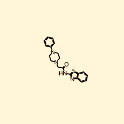 O=C(CN1CCN(c2ccccc2)CC1)Nc1nc2ccccc2s1